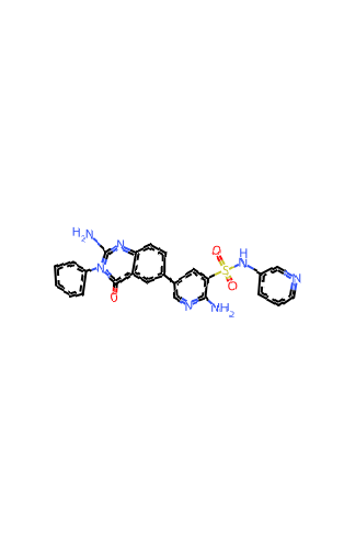 Nc1ncc(-c2ccc3nc(N)n(-c4ccccc4)c(=O)c3c2)cc1S(=O)(=O)Nc1cccnc1